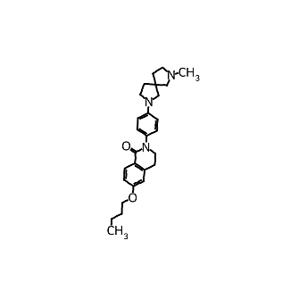 CCCCOc1ccc2c(c1)CCN(c1ccc(N3CCC4(CCN(C)C4)C3)cc1)C2=O